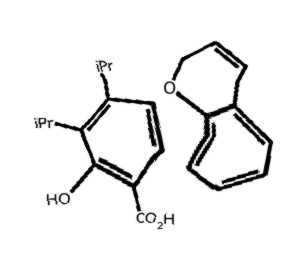 C1=Cc2ccccc2OC1.CC(C)c1ccc(C(=O)O)c(O)c1C(C)C